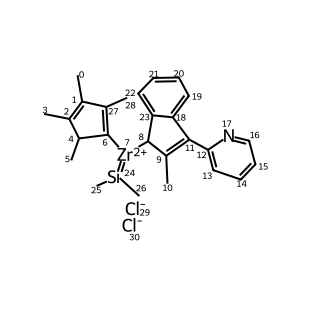 CC1=C(C)C(C)[C]([Zr+2]([CH]2C(C)=C(c3ccccn3)c3ccccc32)=[Si](C)C)=C1C.[Cl-].[Cl-]